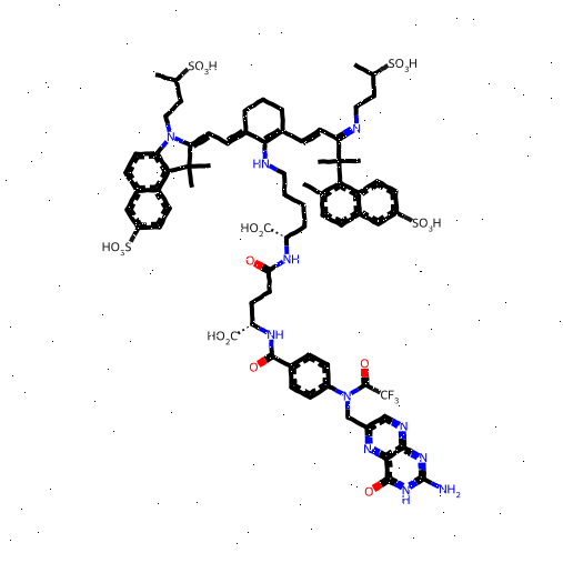 Cc1ccc2cc(S(=O)(=O)O)ccc2c1C(C)(C)C(/C=C/C1=C(NCCCC[C@H](NC(=O)CC[C@H](NC(=O)c2ccc(N(Cc3cnc4nc(N)[nH]c(=O)c4n3)C(=O)C(F)(F)F)cc2)C(=O)O)C(=O)O)C(=C/C=C2/N(CCC(C)S(=O)(=O)O)c3ccc4cc(S(=O)(=O)O)ccc4c3C2(C)C)/CCC1)=N/CCC(C)S(=O)(=O)O